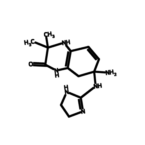 CC1(C)NC2=C(CC(N)(NC3=NCCN3)C=C2)NC1=O